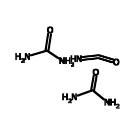 N=C=O.NC(N)=O.NC(N)=O